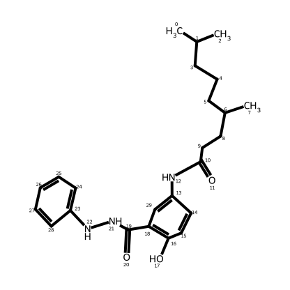 CC(C)CCCC(C)CCC(=O)Nc1ccc(O)c(C(=O)NNc2ccccc2)c1